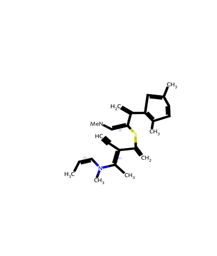 C#C/C(C(=C)S/C(=C/NC)C(=C)c1cc(C)ccc1C)=C(/C)N(C)/C=C\C